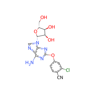 N#Cc1ccc(Oc2nc(N)c3ncn([C@@H]4O[C@H](CO)[C@@H](O)[C@H]4O)c3n2)cc1Cl